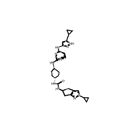 O=C(NC1Cc2cn(C3CC3)nc2C1)N[C@H]1CC[C@H](Nc2nccc(Nc3cc(C4CC4)[nH]n3)n2)CC1